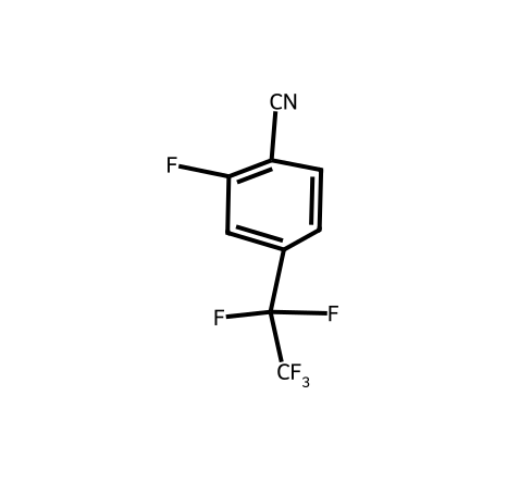 N#Cc1ccc(C(F)(F)C(F)(F)F)cc1F